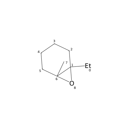 CCC12CCCCC1(C)O2